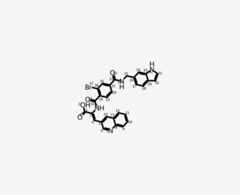 O=C(O)C(=Cc1cnc2ccccc2c1)NC(=O)c1ccc(C(=O)NCc2ccc3cc[nH]c3c2)cc1Br